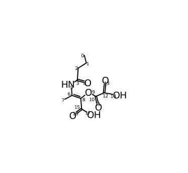 CCCC(=O)NC(C)=C(OC(=O)C(=O)O)C(=O)O